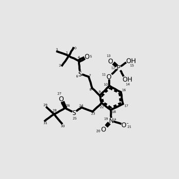 CC(C)(C)C(=O)SCCc1c(OP(=O)(O)O)ccc([N+](=O)[O-])c1CCSC(=O)C(C)(C)C